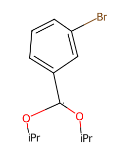 CC(C)O[C](OC(C)C)c1cccc(Br)c1